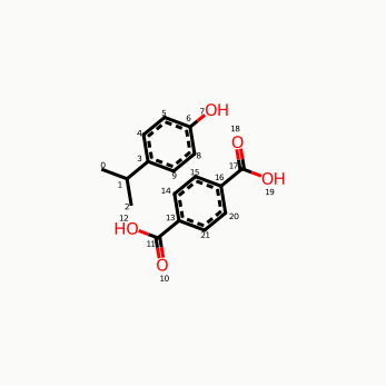 CC(C)c1ccc(O)cc1.O=C(O)c1ccc(C(=O)O)cc1